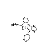 CCCC(CC)c1ccccc1N1CN(c2ccccc2)c2nccnc21